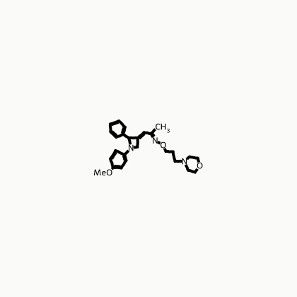 COc1ccc(N2CC(=CC(C)=NOCCCN3CCOCC3)C2c2ccccc2)cc1